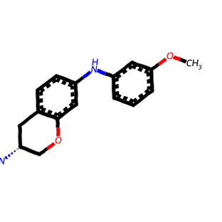 COc1cccc(Nc2ccc3c(c2)OC[C@H](N)C3)c1